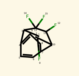 FC1=C[C]2c3ccc(cc3)[C]1C(F)C2(F)F